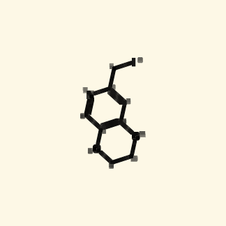 ICc1cc2c(cn1)OCCO2